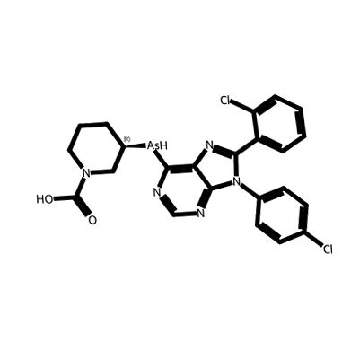 O=C(O)N1CCC[C@@H]([AsH]c2ncnc3c2nc(-c2ccccc2Cl)n3-c2ccc(Cl)cc2)C1